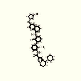 Cc1c(NC(=O)c2cc3n(n2)CCCC3N2CCCCC2)cccc1-c1cccc(Nc2nccc3cc(CN4CC[C@@H](O)C4)cnc23)c1Cl